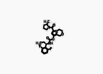 CC[C@@H](NC(=O)Oc1cc(C(=O)N2CCC[C@@H]2C)n2c1COCC2)c1c(F)cccc1F